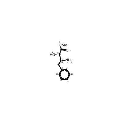 COC(=O)[C@@H](O)[C@@H](N)Cc1ccccc1